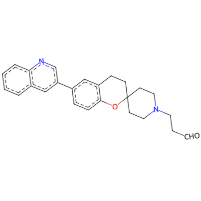 O=CCCN1CCC2(CCc3cc(-c4cnc5ccccc5c4)ccc3O2)CC1